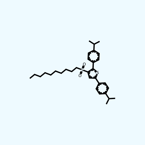 CCCCCCCCCCS(=O)(=O)c1cc(-c2ccc(C(C)C)cc2)sc1-c1ccc(C(C)C)cc1